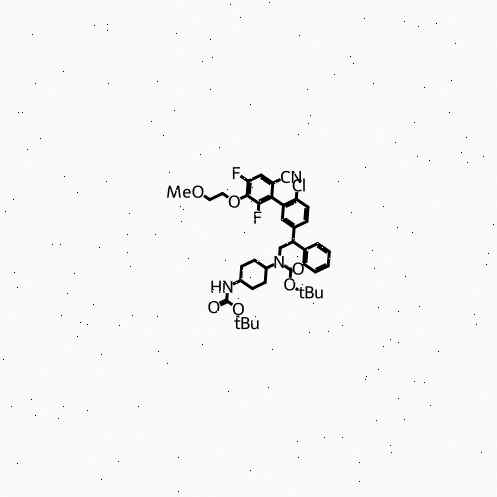 COCCOc1c(F)cc(C#N)c(-c2cc(C(CN(C(=O)OC(C)(C)C)C3CCC(NC(=O)OC(C)(C)C)CC3)c3ccccc3)ccc2Cl)c1F